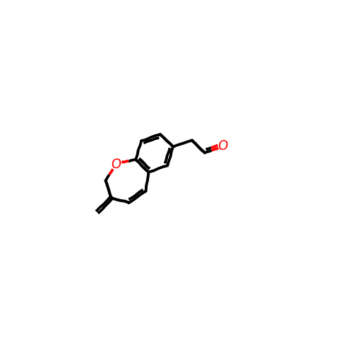 C=C1C=Cc2cc(CC=O)ccc2OC1